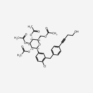 CC(=O)OC[C@H]1O[C@@H](c2ccc(Cl)c(Cc3ccc(C#CCCO)cc3)c2)[C@H](OC(C)=O)[C@@H](OC(C)=O)[C@@H]1OC(C)=O